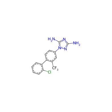 Nc1nc(N)n(-c2ccc(-c3ccccc3Cl)c(C(F)(F)F)c2)n1